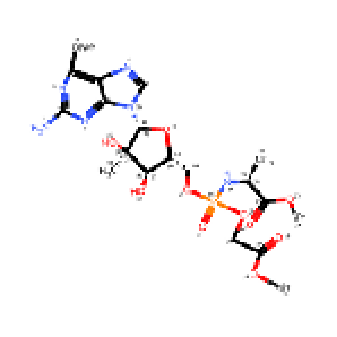 COc1nc(N)nc2c1ncn2[C@@H]1O[C@H](COP(=O)(N[C@@H](C)C(=O)OC(C)C)OCC(=O)OC(C)C)[C@@H](O)[C@@]1(C)O